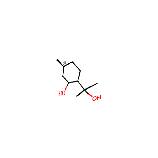 C[C@H]1CCC(C(C)(C)O)C(O)C1